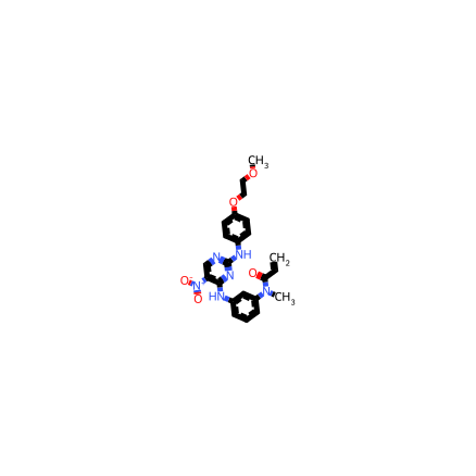 C=CC(=O)N(C)c1cccc(Nc2nc(Nc3ccc(OCCOC)cc3)ncc2[N+](=O)[O-])c1